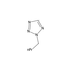 CCCCn1n[c]nn1